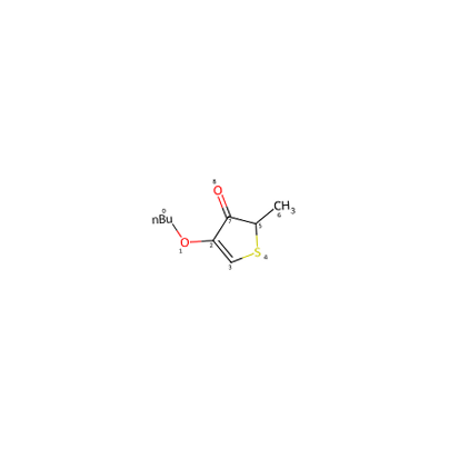 CCCCOC1=CSC(C)C1=O